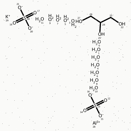 O.O.O.O.O.O.O.O.O.O.O.O.O=S(=O)([O-])[O-].O=S(=O)([O-])[O-].OCC(O)CO.[Al+3].[K+]